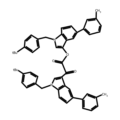 Cc1cccc(-c2ccc3c(c2)c(OC(=O)C(=O)c2cn(Cc4ccc(C(C)(C)C)cc4)c4ccc(-c5cccc(C)c5)cc24)cn3Cc2ccc(C(C)(C)C)cc2)c1